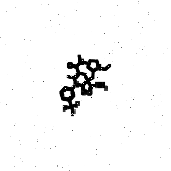 CCN1CCCC1CC1(C(N)=O)CC(C(=O)N(C)C)=C(C)N(c2cccc(C(F)(F)F)c2)C1=O